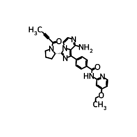 CC#CC(=O)N1CCC[C@H]1c1nc(-c2ccc(C(=O)Nc3cc(OCC)ccn3)cc2)c2c(N)nccn12